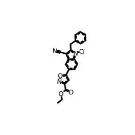 CCOC(=O)c1cc(-c2ccc3c(c2)c(C#N)c(Cc2ccccc2)n3Cl)on1